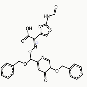 O=CNc1nc(/C(=N/OC(OCc2ccccc2)C2=CC(=O)C(OCc3ccccc3)C=N2)C(=O)O)cs1